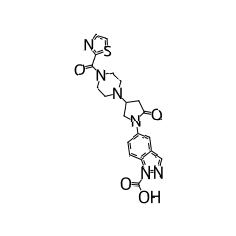 O=C(c1nccs1)N1CCN(C2CC(=O)N(c3ccc4c(cnn4C(=O)O)c3)C2)CC1